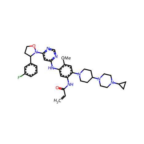 C=CC(=O)Nc1cc(Nc2cc(N3OCCC3c3cccc(F)c3)ncn2)c(OC)cc1N1CCC(N2CCN(C3CC3)CC2)CC1